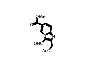 COC(=O)c1ccc2nc(COC(C)=O)c(C=O)n2c1